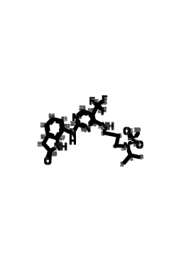 CC(C)N(CCCNc1nc(Nc2cccc3c2NC(=O)C3)ncc1C(F)(F)F)S(C)(=O)=O